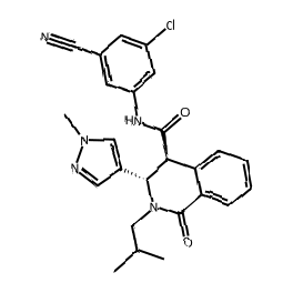 CC(C)CN1C(=O)c2ccccc2[C@H](C(=O)Nc2cc(Cl)cc(C#N)c2)[C@H]1c1cnn(C)c1